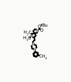 C=C1N(C)C(CCN2CCN(c3cccc(C)c3)CC2)CC12CCN(C(=O)OC(C)(C)C)C2